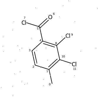 Cc1ccc(C(=O)Cl)c(Cl)c1Cl